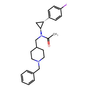 CC(=O)N(CC1CCN(Cc2ccccc2)CC1)[C@H]1C[C@@H]1c1ccc(I)cc1